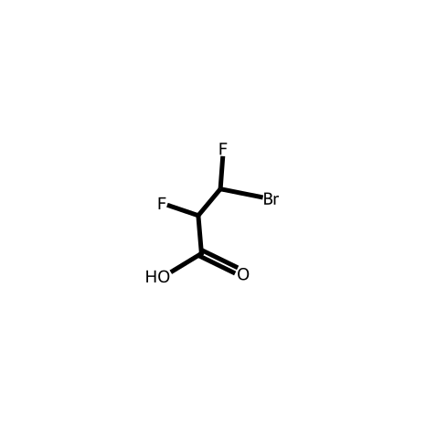 O=C(O)C(F)C(F)Br